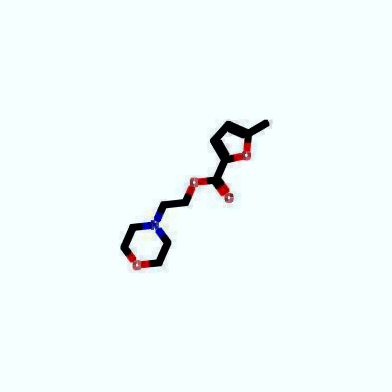 Cc1ccc(C(=O)OCCN2CCOCC2)o1